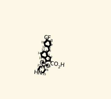 O=C(O)C1Cc2c(Cc3ccc(C(F)(F)F)cc3)cccc2C1S(=O)(=O)N1CCNCC1